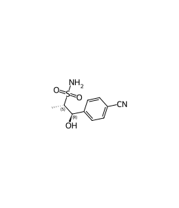 C[C@@H]([C@H](O)c1ccc(C#N)cc1)S(N)(=O)=O